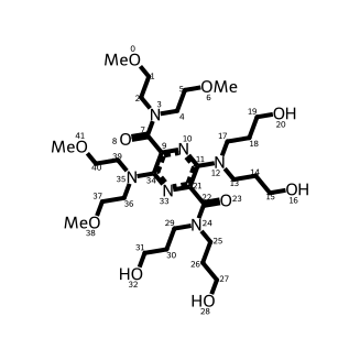 COCCN(CCOC)C(=O)c1nc(N(CCCO)CCCO)c(C(=O)N(CCCO)CCCO)nc1N(CCOC)CCOC